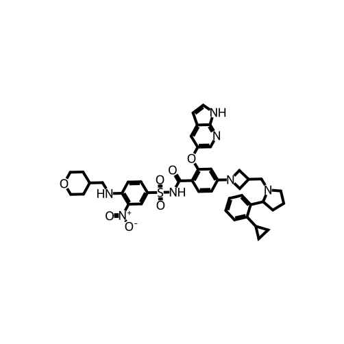 O=C(NS(=O)(=O)c1ccc(NCC2CCOCC2)c([N+](=O)[O-])c1)c1ccc(N2CC(CN3CCCC3c3ccccc3C3CC3)C2)cc1Oc1cnc2[nH]ccc2c1